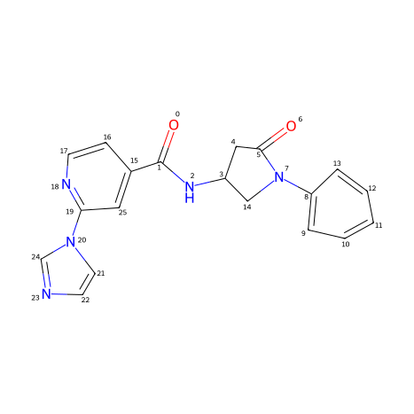 O=C(NC1CC(=O)N(c2ccccc2)C1)c1ccnc(-n2ccnc2)c1